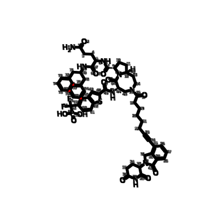 NC(=O)CCC(NC(=O)[C@@H]1CC[C@@H]2CCN(C(=O)CCCCCC#Cc3cccc4c3CN(C3CCC(=O)NC3=O)C4=O)C[C@H](NC(=O)c3cc4cc(C(F)(F)P(=O)(O)O)ccc4s3)C(=O)N21)C(=O)NC(Cc1ccccc1)Cc1ccccc1